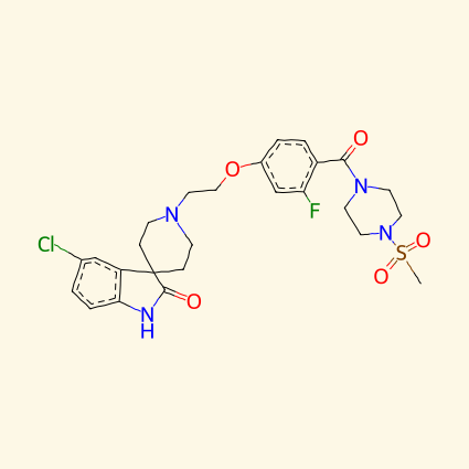 CS(=O)(=O)N1CCN(C(=O)c2ccc(OCCN3CCC4(CC3)C(=O)Nc3ccc(Cl)cc34)cc2F)CC1